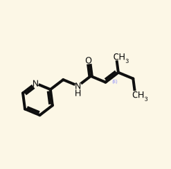 CC/C(C)=C/C(=O)NCc1ccccn1